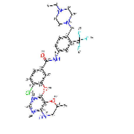 CCN1CCN(Cc2ccc(NC(=O)c3ccc(Cl)c(Oc4ncnc5c4OC(C)CN5)c3)cc2C(F)(F)F)CC1